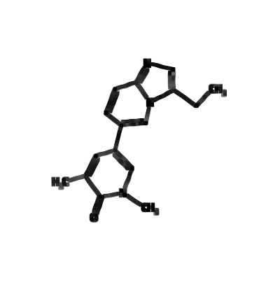 CCc1cnc2ccc(-c3cc(C)c(=O)n(C)c3)cn12